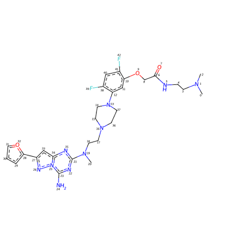 CN(C)CCNC(=O)COc1cc(N2CCN(CCN(C)c3nc(N)n4nc(-c5ccco5)cc4n3)CC2)c(F)cc1F